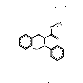 NOC(=O)[C@H](Cc1ccccc1)N(C=O)c1ccccc1